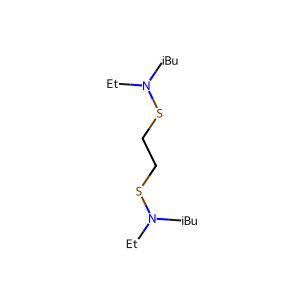 CCC(C)N(CC)SCCSN(CC)C(C)CC